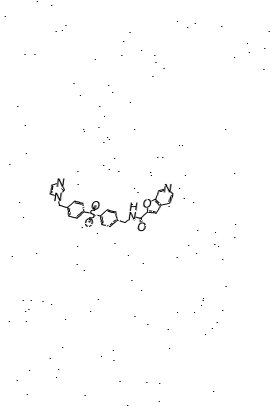 O=C(NCc1ccc(S(=O)(=O)c2ccc(Cn3ccnc3)cc2)cc1)c1cc2ccncc2o1